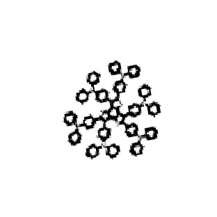 C1=CCCC(N(C2=CCCC=C2)c2ccc(-c3c(-c4ccc(N(c5ccccc5)c5ccccc5)cc4)sc4c5c(C6=CC=C(N(C7=CCCC=C7)c7ccccc7)CC6)c(-c6ccc(N(c7ccccc7)c7ccccc7)cc6)sc5c5c(C6=CCC(N(C7=CC=CCC7)C7C=CC=CC7)C=C6)c(-c6ccc(N(c7ccccc7)c7ccccc7)cc6)sc5c34)cc2)=C1